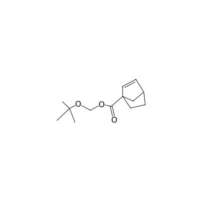 CC(C)(C)OCOC(=O)C12C=CC(CC1)C2